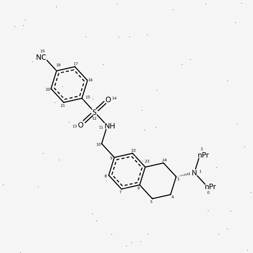 CCCN(CCC)[C@@H]1CCc2ccc(CNS(=O)(=O)c3ccc(C#N)cc3)cc2C1